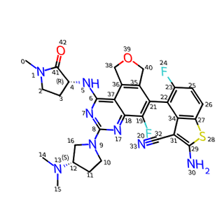 CN1CC[C@@H](Nc2nc(N3CC[C@H](N(C)C)C3)nc3c(F)c(-c4c(F)ccc5sc(N)c(C#N)c45)c4c(c23)COC4)C1=O